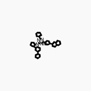 c1ccc(C2=NC(n3c4ccccc4c4cc(-c5ccccc5)ccc43)NC(c3ccc(-c4ccc5ccccc5c4)cc3)=N2)cc1